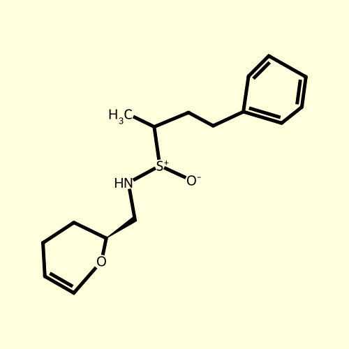 CC(CCc1ccccc1)[S+]([O-])NC[C@@H]1CCC=CO1